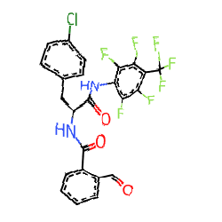 O=Cc1ccccc1C(=O)N[C@@H](Cc1ccc(Cl)cc1)C(=O)Nc1c(F)c(F)c(C(F)(F)F)c(F)c1F